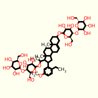 CCc1ccc(OC)cc1C1CC2C3CC=C4CC(OC5O[C@H](CO)[C@@H](O[C@@H]6O[C@H](CO)[C@@H](O)[C@H](O)[C@H]6O)[C@H](O)[C@H]5O)CCC4(C)C3CCC2(C)C1C(C)OC1O[C@H](CO)[C@@H](O[C@@H]2O[C@H](CO)[C@@H](O)[C@H](O)[C@H]2O)[C@H](O)[C@H]1O